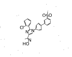 CC(=NO)c1cn(-c2ccc(-c3cccc(S(C)(=O)=O)c3)cc2)c(-c2ccccc2Cl)n1